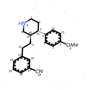 COc1ccc([C@H]2CCNC[C@@H]2CCc2cccc(C#N)c2)cc1